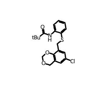 CC(C)(C)C(=O)Nc1ccccc1SCc1cc(Cl)cc2c1OCOC2